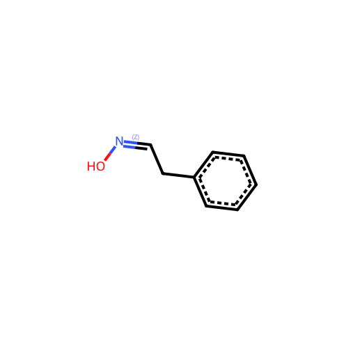 O/N=C\Cc1ccccc1